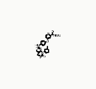 CNC(=O)c1cc(Oc2ccc(Nc3ncc4c(n3)N(c3cccc(C)c3)C(=O)N(C)C4)cc2)ccn1